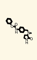 CN(Cc1ccc(NC(=O)Oc2ccccc2)cc1)C1CCNC1=O